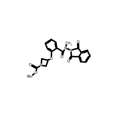 CN(C(=O)c1ccccc1OC1CN(C(=O)OC(C)(C)C)C1)N1C(=O)c2ccccc2C1=O